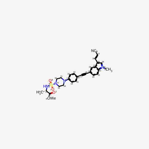 COC(=O)[C@H](C)NS(=O)(=O)N1CCN(c2ccc(C#Cc3ccc4c(c3)c(/C=C/C#N)cn4C)cc2)CC1